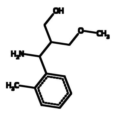 COCC(CO)C(N)c1ccccc1C